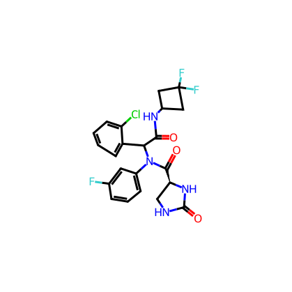 O=C1NC[C@@H](C(=O)N(c2cccc(F)c2)C(C(=O)NC2CC(F)(F)C2)c2ccccc2Cl)N1